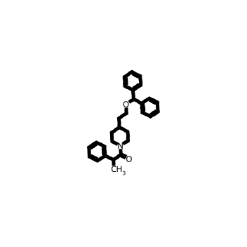 CC(C(=O)N1CCC(CCOC(c2ccccc2)c2ccccc2)CC1)c1ccccc1